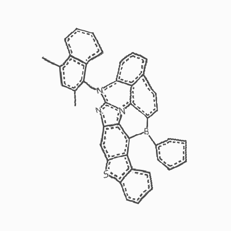 Cc1cc(C)c2ccccc2c1-n1c2cccc3ccc4c(c32)n2c3c(c5c(cc3nc12)sc1ccccc15)B4c1ccccc1